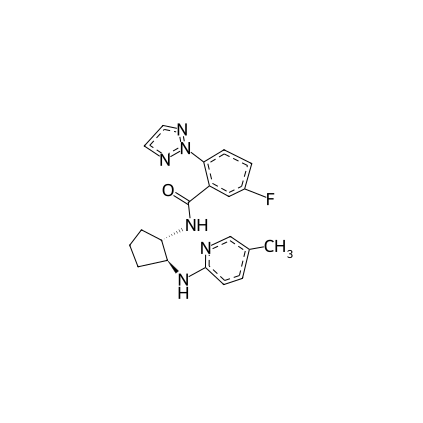 Cc1ccc(N[C@H]2CCC[C@@H]2NC(=O)c2cc(F)ccc2-n2nccn2)nc1